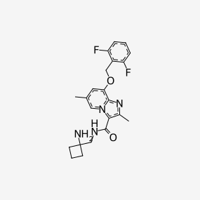 Cc1cc(OCc2c(F)cccc2F)c2nc(C)c(C(=O)NCC3(N)CCC3)n2c1